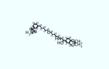 CC1(C)OCc2cc(C(O)CNCCCCCOCCCCCc3cccc(S(N)(=O)=O)c3)ccc2O1